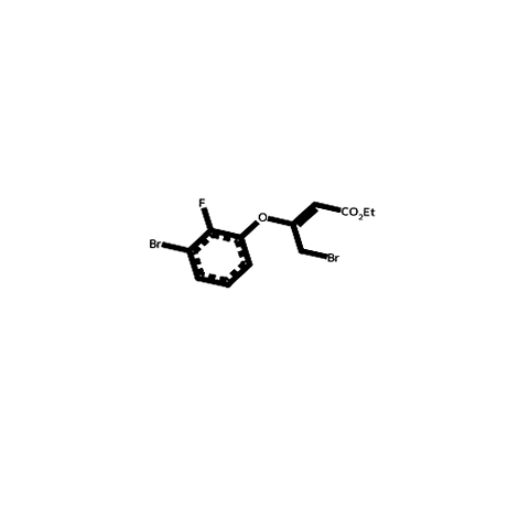 CCOC(=O)C=C(CBr)Oc1cccc(Br)c1F